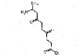 CCC(=O)CCC(=O)CCC(=O)CC(N)N